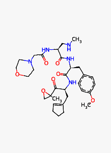 CNC[C@H](NC(=O)CN1CCOCC1)C(=O)N[C@@H](Cc1ccc(OC)cc1)C(=O)N[C@@H](CC1=CCCC1)C(=O)[C@@]1(C)CO1